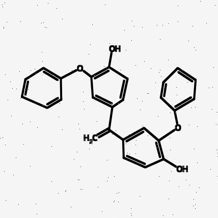 C=C(c1ccc(O)c(Oc2ccccc2)c1)c1ccc(O)c(Oc2ccccc2)c1